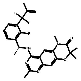 C=C(C)C(F)(F)c1cccc([C@@H](C)Nc2nc(C)nc3cc4c(cc23)N(C)C(=O)C(C)(C)O4)c1F